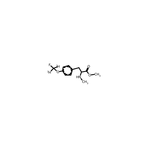 [2H]C([2H])(F)Oc1ccc(CC(NC)C(=O)OC)cc1